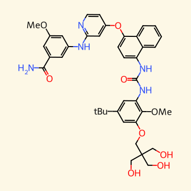 COc1cc(Nc2cc(Oc3ccc(NC(=O)Nc4cc(C(C)(C)C)cc(OCC(CO)(CO)CO)c4OC)c4ccccc34)ccn2)cc(C(N)=O)c1